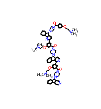 CN(C)CCCOc1ccc(C(=O)N2CCN(C3c4ccccc4-c4nc(-c5cc(OCCN(C)C)cc(C(=O)N6CCN(C7c8ccccc8-c8c7ccnc8-c7cc(OCCN(C)C)cc(C(=O)N8CCN(C9c%10ccccc%10-c%10ccncc%109)CC8)c7)CC6)c5)ccc43)CC2)cc1